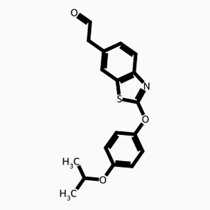 CC(C)Oc1ccc(Oc2nc3ccc(CC=O)cc3s2)cc1